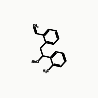 C=Cc1ccccc1CC(OC)c1ccccc1C